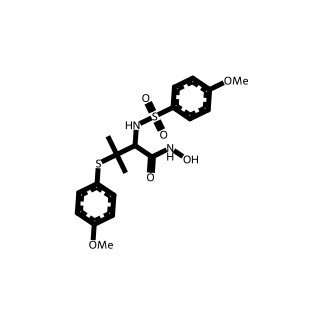 COc1ccc(SC(C)(C)C(NS(=O)(=O)c2ccc(OC)cc2)C(=O)NO)cc1